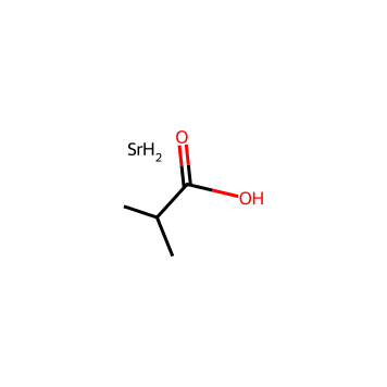 CC(C)C(=O)O.[SrH2]